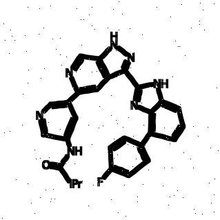 CC(C)C(=O)Nc1cncc(-c2cc3c(-c4nc5c(-c6ccc(F)cc6)cccc5[nH]4)n[nH]c3cn2)c1